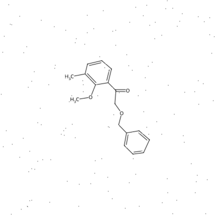 COc1c(C)cccc1C(=O)COCc1ccccc1